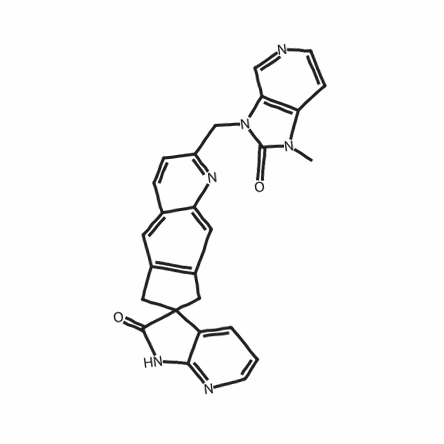 Cn1c(=O)n(Cc2ccc3cc4c(cc3n2)CC2(C4)C(=O)Nc3ncccc32)c2cnccc21